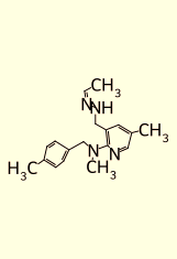 C/C=N\NCc1cc(C)cnc1N(C)Cc1ccc(C)cc1